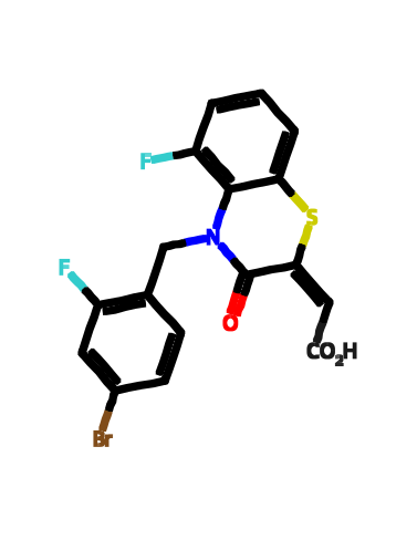 O=C(O)C=C1Sc2cccc(F)c2N(Cc2ccc(Br)cc2F)C1=O